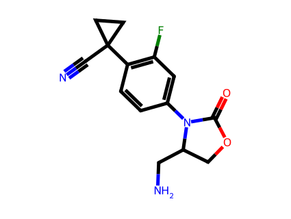 N#CC1(c2ccc(N3C(=O)OCC3CN)cc2F)CC1